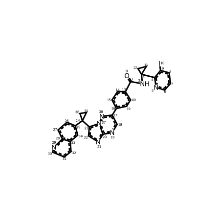 O=C(NC1(c2ncccc2I)CC1)c1ccc(-c2cnc3ncc(C4(c5ccc6ncccc6c5)CC4)n3n2)cc1